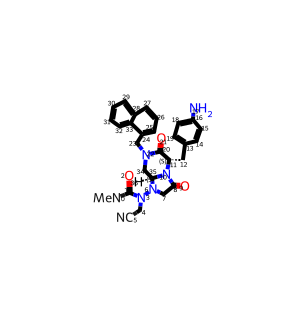 CNC(=O)N(CC#N)N1CC(=O)N2[C@@H](Cc3ccc(N)cc3)C(=O)N(Cc3cccc4ccccc34)C[C@@H]21